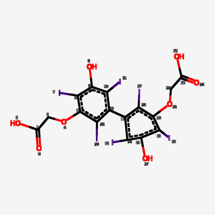 O=C(O)COc1c(I)c(O)c(I)c(-c2c(I)c(O)c(I)c(OCC(=O)O)c2I)c1I